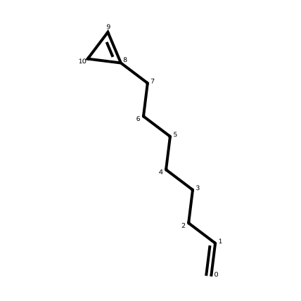 C=CCCCCCCC1=CC1